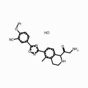 Cc1c(-c2noc(-c3ccc(OC(C)C)c(C#N)c3)n2)ccc2c1CCNC2C(=O)CN.Cl